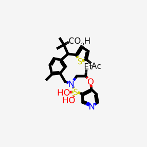 CCC1CN(Cc2cc(C(c3ccc(C(C)=O)s3)C(C)(C)C(=O)O)ccc2C)S(O)(O)c2cnccc2O1